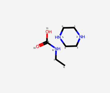 C1CNCCN1.CCNC(=O)O